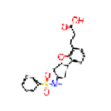 O=C(O)CCc1cccc2c1OC1CC(NS(=O)(=O)c3ccccc3)CC21